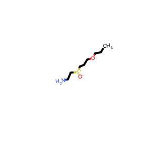 CCCOCCC[S+]([O-])CCN